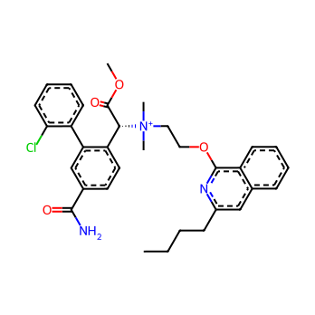 CCCCc1cc2ccccc2c(OCC[N+](C)(C)[C@@H](C(=O)OC)c2ccc(C(N)=O)cc2-c2ccccc2Cl)n1